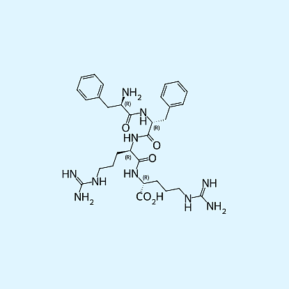 N=C(N)NCCC[C@@H](NC(=O)[C@@H](CCCNC(=N)N)NC(=O)[C@@H](Cc1ccccc1)NC(=O)[C@H](N)Cc1ccccc1)C(=O)O